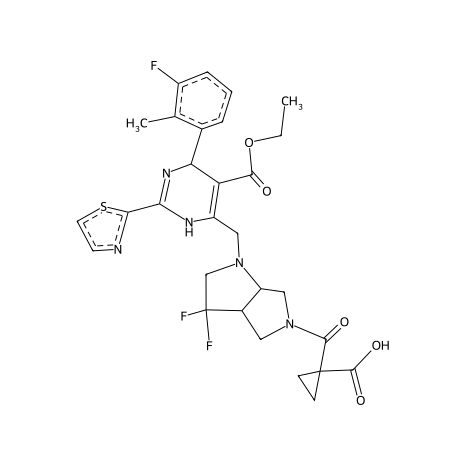 CCOC(=O)C1=C(CN2CC(F)(F)C3CN(C(=O)C4(C(=O)O)CC4)CC32)NC(c2nccs2)=NC1c1cccc(F)c1C